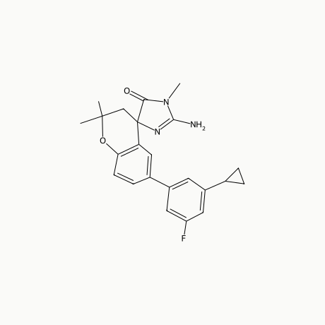 CN1C(=O)C2(CC(C)(C)Oc3ccc(-c4cc(F)cc(C5CC5)c4)cc32)N=C1N